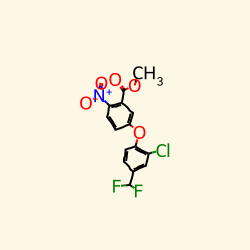 COC(=O)c1cc(Oc2ccc(C(F)F)cc2Cl)ccc1[N+](=O)[O-]